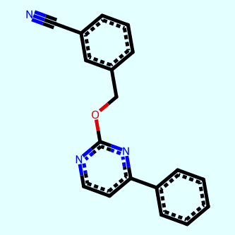 N#Cc1cccc(COc2nccc(-c3ccccc3)n2)c1